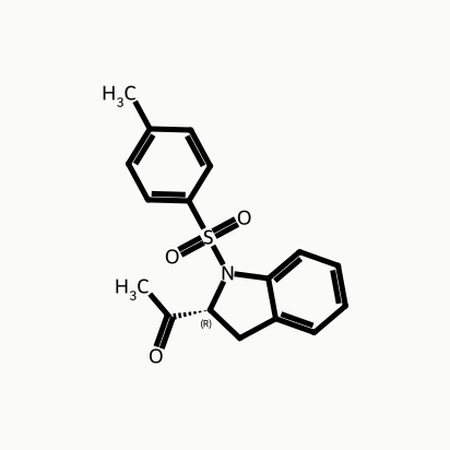 CC(=O)[C@H]1Cc2ccccc2N1S(=O)(=O)c1ccc(C)cc1